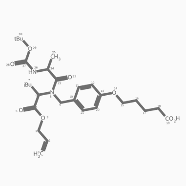 C=CCOC(=O)C(C(C)CC)N(Cc1ccc(OCCCCC(=O)O)cc1)C(=O)C(C)NC(=O)OC(C)(C)C